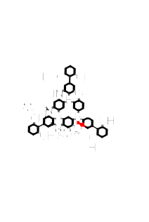 CSN1c2cc3c(cc2B2c4cc5c(cc4N(SC)c4cc(-c6c(C)cccc6C)cc1c42)Oc1cc(-c2c(C)cccc2C)cc2c1B5c1ccccc1O2)B1c2ccccc2Oc2cc(-c4c(C)cccc4C)cc(c21)N3